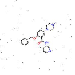 CN1CCN(c2ccc(OCc3ccccc3)c(C(=O)Nc3cccnc3)c2)CC1